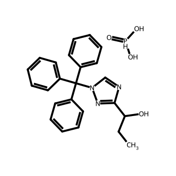 CCC(O)c1ncn(C(c2ccccc2)(c2ccccc2)c2ccccc2)n1.O=[PH](O)O